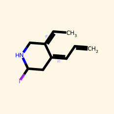 C=C/C=C1/CC(I)NC/C1=C/C